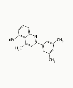 CCCc1cccc2nc(-c3cc(C)cc(C)c3)cc(C)c12